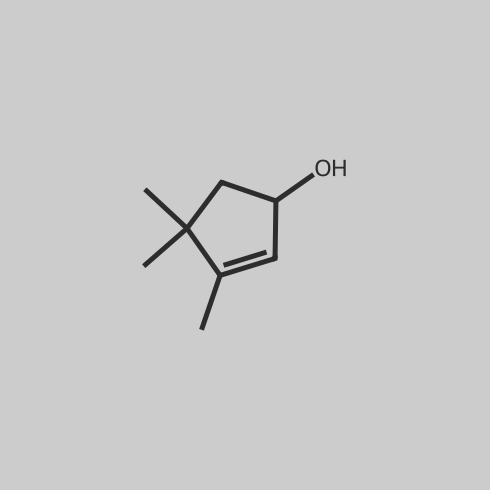 CC1=CC(O)CC1(C)C